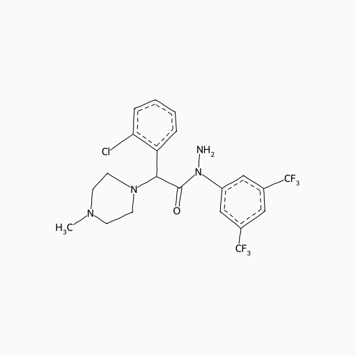 CN1CCN(C(C(=O)N(N)c2cc(C(F)(F)F)cc(C(F)(F)F)c2)c2ccccc2Cl)CC1